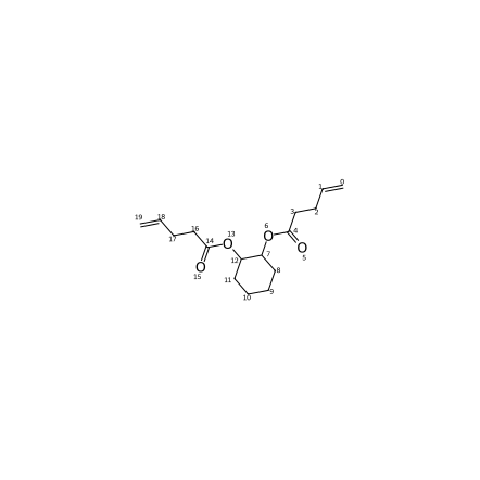 C=CCCC(=O)OC1CCCCC1OC(=O)CCC=C